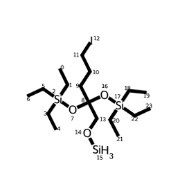 CC[Si](CC)(CC)OC(CCCI)(CO[SiH3])O[Si](CC)(CC)CC